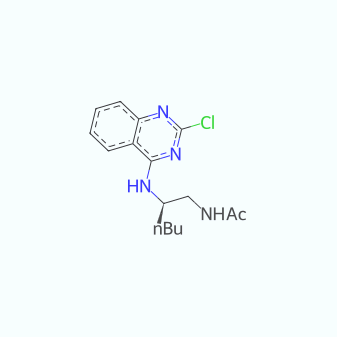 CCCC[C@H](CNC(C)=O)Nc1nc(Cl)nc2ccccc12